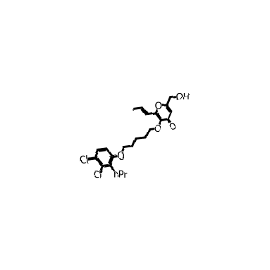 CC=Cc1oc(CO)cc(=O)c1OCCCCCOc1ccc(Cl)c(Cl)c1CCC